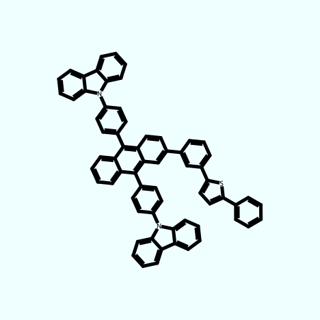 c1ccc(-c2ccc(-c3cccc(-c4ccc5c(-c6ccc(-n7c8ccccc8c8ccccc87)cc6)c6ccccc6c(-c6ccc(-n7c8ccccc8c8ccccc87)cc6)c5c4)c3)s2)cc1